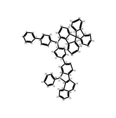 c1ccc(-c2ccc(N(c3ccc(-c4ccc5c6ccc7ccccc7c6n(-c6ccccc6)c5c4)cc3)c3cccc4c3-c3ccccc3C43c4ccccc4-c4ccccc43)cc2)cc1